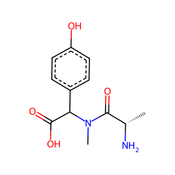 C[C@H](N)C(=O)N(C)C(C(=O)O)c1ccc(O)cc1